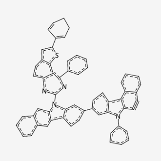 c1c2ccccc2c2c3ccc(-c4ccc5c6cc7ccccc7cc6n(-c6nc(-c7ccccc7)c7c(ccc8cc(C9=CCCC=C9)sc87)n6)c5c4)cc3n(-c3ccccc3)c2c#1